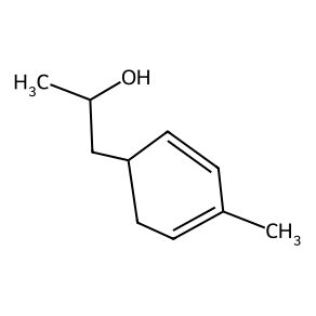 CC1=CCC(CC(C)O)C=C1